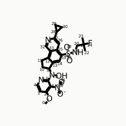 COc1ccnc(N(O)C2CCc3c2cc(S(=O)(=O)NCC(C)(C)F)c2cc(C4CC4)ncc32)c1[N+](=O)[O-]